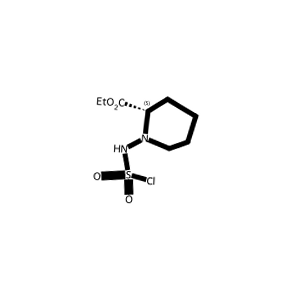 CCOC(=O)[C@@H]1CCCCN1NS(=O)(=O)Cl